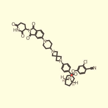 N#Cc1ccc(OC2C[C@H]3CC[C@@H](C2)N3C(=O)c2ccc(N3CC4(C3)CN(C3CCN(c5ccc6c(c5)C(=O)N(C5CCC(=O)NC5=O)C6=O)CC3)C4)cc2)cc1Cl